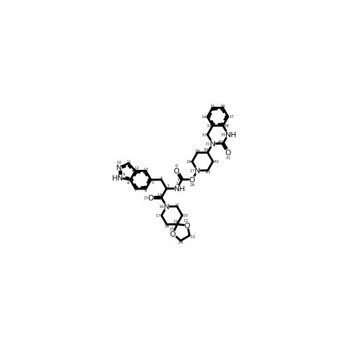 O=C(NC(Cc1ccc2[nH]ncc2c1)C(=O)N1CCC2(CC1)OCCO2)ON1CCC(N2Cc3ccccc3NC2=O)CC1